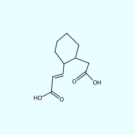 O=C(O)C=CC1CCCCC1CC(=O)O